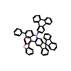 c1ccc(-c2ccc(N(c3ccc4c5ccccc5c5ccccc5c4c3)c3cc4c(cc3-c3cccc5oc6ccccc6c35)-c3ccccc3C43c4ccccc4-c4ccccc43)cc2)cc1